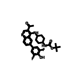 CC(=O)c1cnc2ccc(-c3cc(F)c(O)c(F)c3)cc2c1NC1CCC(NC(=O)OC(C)(C)C)CC1